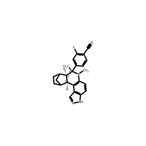 CN1c2ccc3[nH]ncc3c2[C@H]2C3CCC(C3)[C@H]2[C@]1(C)c1ccc(C#N)c(F)c1